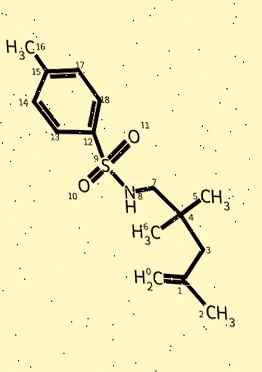 C=C(C)CC(C)(C)CNS(=O)(=O)c1ccc(C)cc1